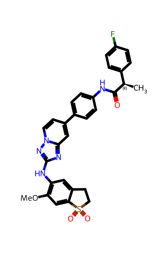 COc1cc2c(cc1Nc1nc3cc(-c4ccc(NC(=O)[C@H](C)c5ccc(F)cc5)cc4)ccn3n1)CCS2(=O)=O